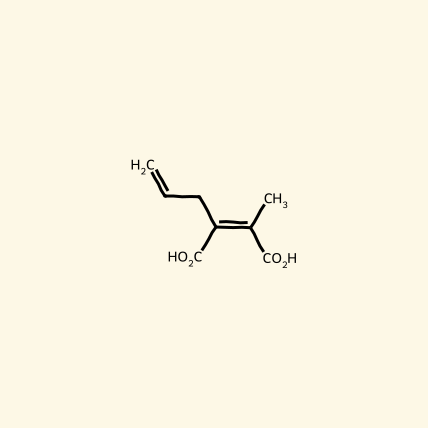 C=CC/C(C(=O)O)=C(\C)C(=O)O